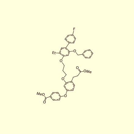 CCc1cc(-c2ccc(F)cc2)c(OCc2ccccc2)cc1OCCCOc1cc(Oc2ccc(C(=O)OC)cc2)ccc1CCC(=O)OC